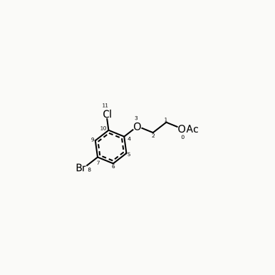 CC(=O)OCCOc1ccc(Br)cc1Cl